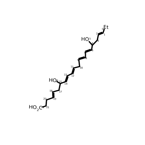 CCC=CCC(O)C=CC=CCC=CC=CC(O)CC=CCCC(=O)O